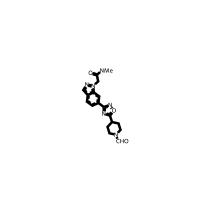 CNC(=O)Cn1ncc2ccc(-c3noc(C4CCN(C=O)CC4)n3)cc21